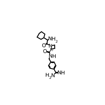 N=C(N)c1ccc(CNC(=O)[C@@H]2CCN2C(=O)C(N)C2CCCCC2)cc1